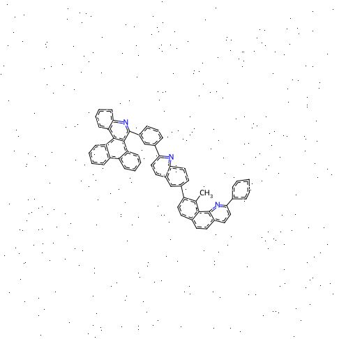 Cc1c(-c2ccc3nc(-c4cccc(-c5nc6ccccc6c6c7ccccc7c7ccccc7c56)c4)ccc3c2)ccc2ccc3ccc(-c4ccccc4)nc3c12